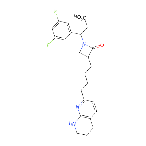 O=C(O)CC(c1cc(F)cc(F)c1)N1CC(CCCCc2ccc3c(n2)NCCC3)C1=O